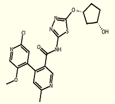 COc1cnc(Cl)cc1-c1cc(C)ncc1C(=O)Nc1nnc(O[C@@H]2CC[C@H](O)C2)s1